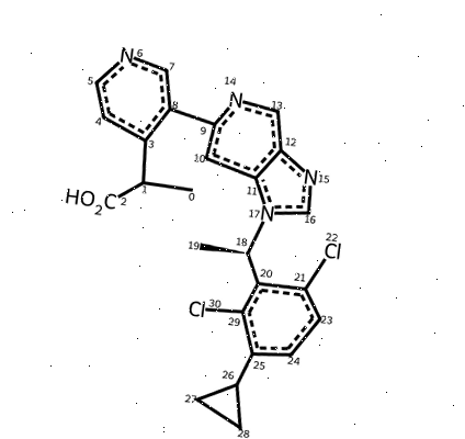 CC(C(=O)O)c1ccncc1-c1cc2c(cn1)ncn2[C@H](C)c1c(Cl)ccc(C2CC2)c1Cl